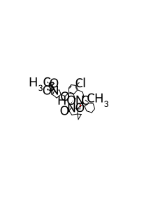 C[C@]1(C(=O)O)CCCC[C@H]1C(=O)N1CCc2c(Cl)ccc(O[C@H]3CCN(S(C)(=O)=O)C3)c2[C@H]1CN1CC2(CC2)CC1=O